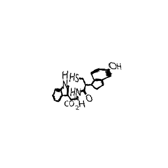 O=C(N[C@@H](Cc1c[nH]c2ccccc12)C(=O)O)C(CS)C1CCc2cc(O)ccc21